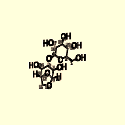 OC[C@H]1O[C@@H](O[C@@H]2[C@@H](O)[C@@H]3OC[C@@H](O3)[C@H]2O)[C@H](O)[C@@H](O)[C@@H]1O